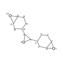 C1CC2OC2CC1C1OC1C1CCC2OC2C1